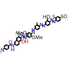 COc1cc(N=Nc2c(S(=O)(=O)O)cc3cc(NC(=O)c4ccc(N)cc4)ccc3c2O)c(OC)cc1N=Nc1ccc(N=Nc2ccc(N=Nc3ccc(S(=O)(=O)O)cc3S(=O)(=O)O)c(C)c2)c(C)c1